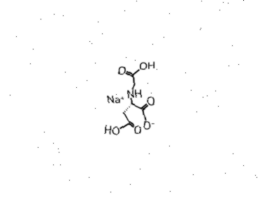 O=C(O)CN[C@@H](CC(=O)O)C(=O)[O-].[Na+]